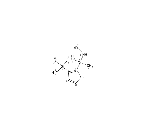 CC(C)(C)N[Si](C)(C)C1=C([Si](C)(C)C)C=CC1